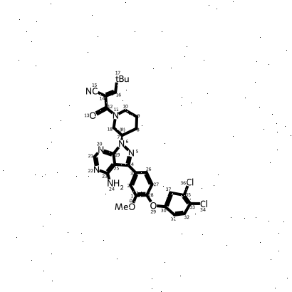 COc1cc(-c2nn([C@@H]3CCCN(C(=O)C(C#N)=CC(C)(C)C)C3)c3ncnc(N)c23)ccc1Oc1ccc(Cl)c(Cl)c1